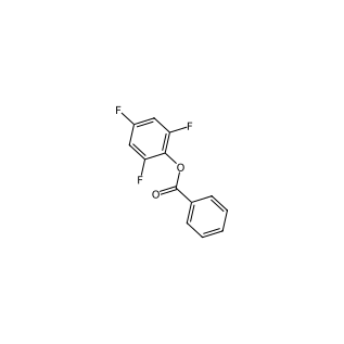 O=C(Oc1c(F)cc(F)cc1F)c1ccccc1